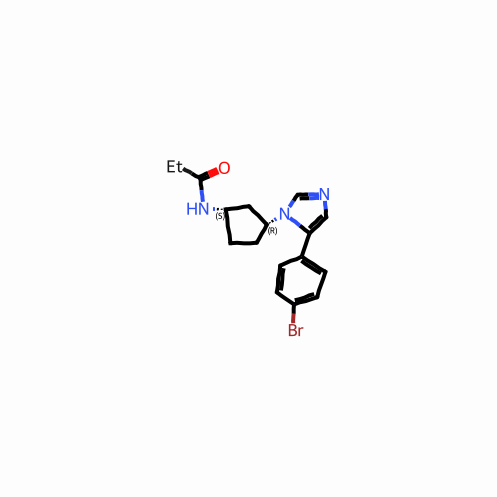 CCC(=O)N[C@H]1CC[C@@H](n2cncc2-c2ccc(Br)cc2)C1